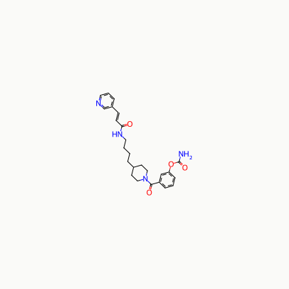 NC(=O)Oc1cccc(C(=O)N2CCC(CCCCNC(=O)C=Cc3cccnc3)CC2)c1